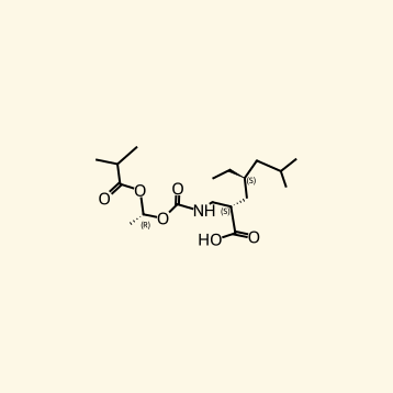 CC[C@@H](CC(C)C)C[C@@H](CNC(=O)O[C@H](C)OC(=O)C(C)C)C(=O)O